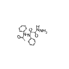 CC(=O)N(c1ccccc1)N(C(=O)C(=O)NN)c1ccccc1